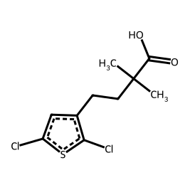 CC(C)(CCc1cc(Cl)sc1Cl)C(=O)O